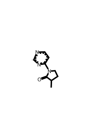 CC1CCN(c2ccn[c]n2)C1=O